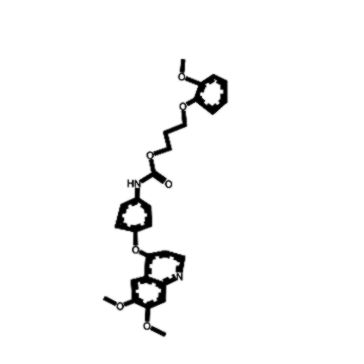 COc1cc2nccc(Oc3ccc(NC(=O)OCCCOc4ccccc4OC)cc3)c2cc1OC